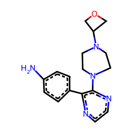 Nc1ccc(-c2nccnc2N2CCN(C3COC3)CC2)cc1